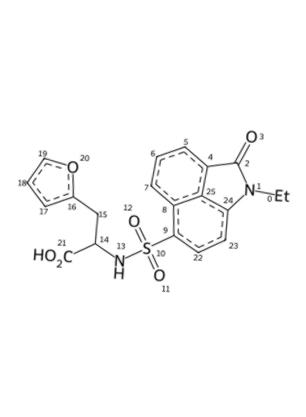 CCN1C(=O)c2cccc3c(S(=O)(=O)NC(Cc4ccco4)C(=O)O)ccc1c23